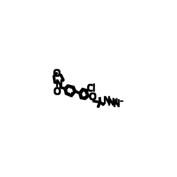 CC(C)(CN=[N+]=[N-])COc1ccc(-c2ccc(C(=O)N3CCOCC3)cc2)cc1Cl